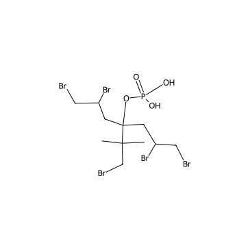 CC(C)(CBr)C(CC(Br)CBr)(CC(Br)CBr)OP(=O)(O)O